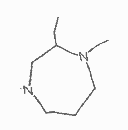 CC1C[N]CCCN1C